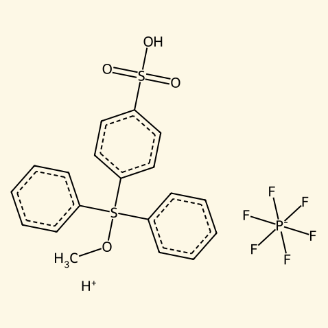 COS(c1ccccc1)(c1ccccc1)c1ccc(S(=O)(=O)O)cc1.F[P-](F)(F)(F)(F)F.[H+]